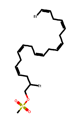 CC/C=C\C/C=C\C/C=C\C/C=C\C/C=C\C/C=C\CC(CC)COS(C)(=O)=O